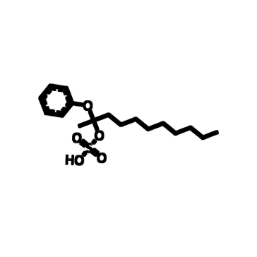 CCCCCCCCCC(C)(Oc1ccccc1)OS(=O)(=O)O